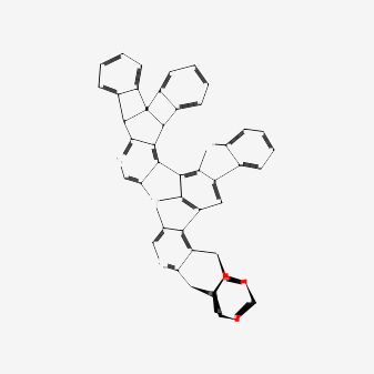 c1ccc2c(c1)C1c3ccccc3C2c2c1ncc1c2c2cc3c4ccccc4oc3c3c4c5c(ncc4n1c23)C1c2ccccc2C12c1ccccc1C52